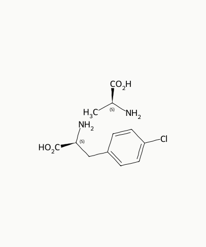 C[C@H](N)C(=O)O.N[C@@H](Cc1ccc(Cl)cc1)C(=O)O